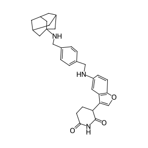 O=C1CCC(c2coc3ccc(NCc4ccc(CNC56CC7CC(CC(C7)C5)C6)cc4)cc23)C(=O)N1